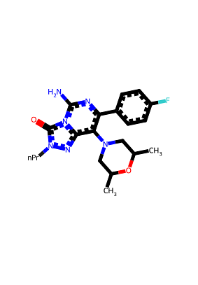 CCCn1nc2c(N3CC(C)OC(C)C3)c(-c3ccc(F)cc3)nc(N)n2c1=O